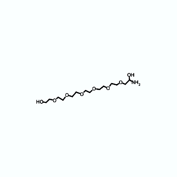 NC(O)COCCOCCOCCOCCOCCOCCO